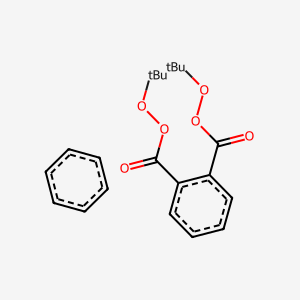 CC(C)(C)OOC(=O)c1ccccc1C(=O)OOC(C)(C)C.c1ccccc1